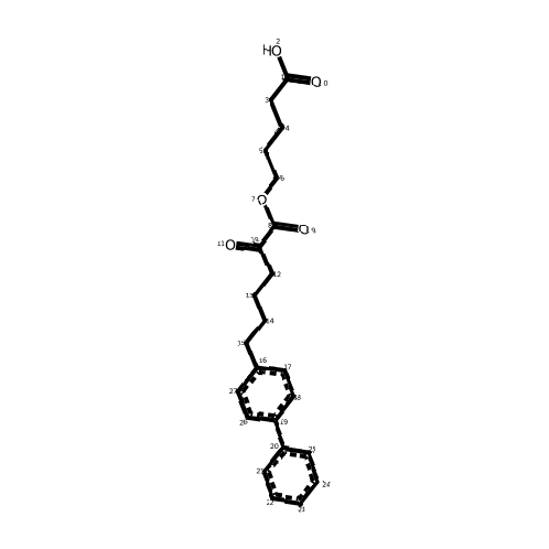 O=C(O)CCCCOC(=O)C(=O)CCCCc1ccc(-c2ccccc2)cc1